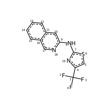 FC(F)(F)c1csc(Nc2cc3ccccc3cn2)n1